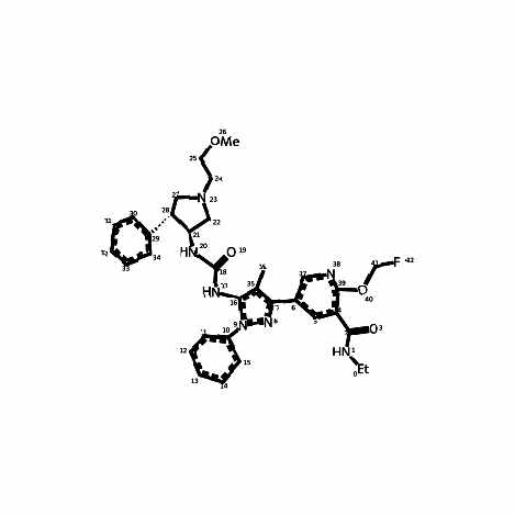 CCNC(=O)c1cc(-c2nn(-c3ccccc3)c(NC(=O)N[C@@H]3CN(CCOC)C[C@H]3c3ccccc3)c2C)cnc1OCF